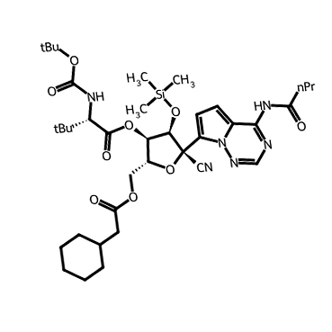 CCCC(=O)Nc1ncnn2c([C@]3(C#N)O[C@H](COC(=O)CC4CCCCC4)[C@@H](OC(=O)[C@@H](NC(=O)OC(C)(C)C)C(C)(C)C)[C@H]3O[Si](C)(C)C)ccc12